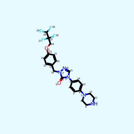 O=c1n(-c2ccc(N3CCNCC3)cc2)cnn1Cc1ccc(OCC(F)(F)C(F)F)cc1